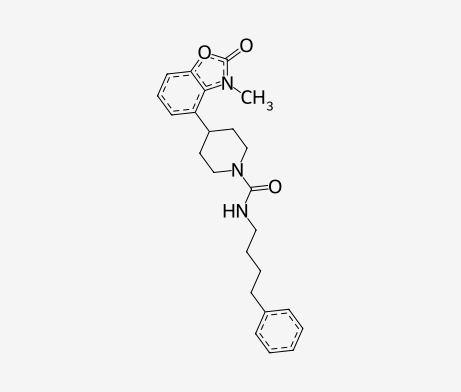 Cn1c(=O)oc2cccc(C3CCN(C(=O)NCCCCc4ccccc4)CC3)c21